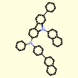 c1ccc(-c2ccc3c4ccc(N(c5ccccc5)c5ccc(-c6ccc7ccccc7c6)cc5)cc4n(-c4ccc5ccccc5c4)c3c2)cc1